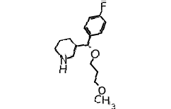 COCCCO[C@@H](c1ccc(F)cc1)[C@@H]1CCCNC1